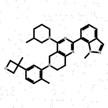 Cc1ccc(C2(C)COC2)cc1N1CCc2nc(-c3cccc4cnn(C)c34)nc(N3CCCC(C)C3)c2C1